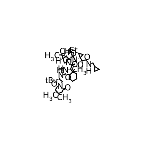 CC[C@@H]1C[C@@]1(NC(=O)[C@@H]1[C@@H]2[C@H](CN1C(=O)[C@@H](NC(=O)N[C@H](CN1C(=O)CC(C)(C)CC1=O)C(C)(C)C)C1(C)CCCCC1)C2(C)C)C(=O)C(=O)NCC1CC1